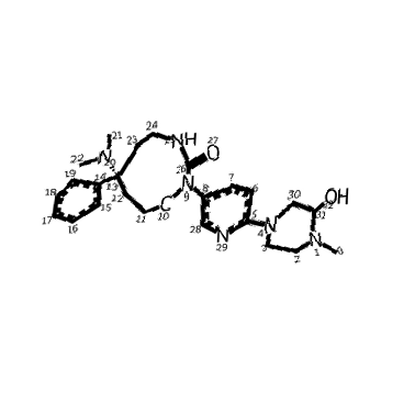 CN1CCN(c2ccc(N3CCC[C@](c4ccccc4)(N(C)C)CCNC3=O)cn2)CC1O